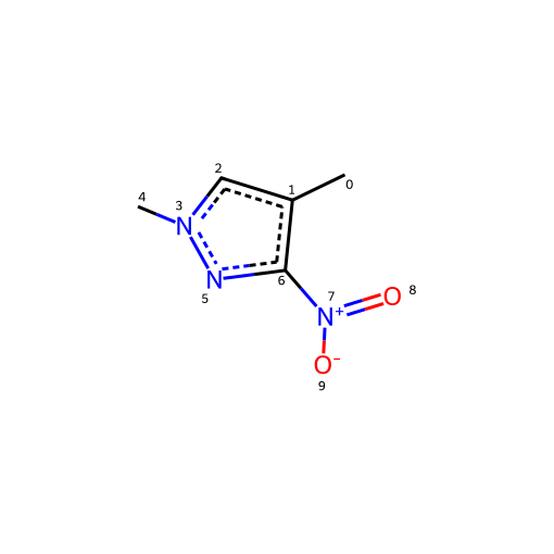 Cc1cn(C)nc1[N+](=O)[O-]